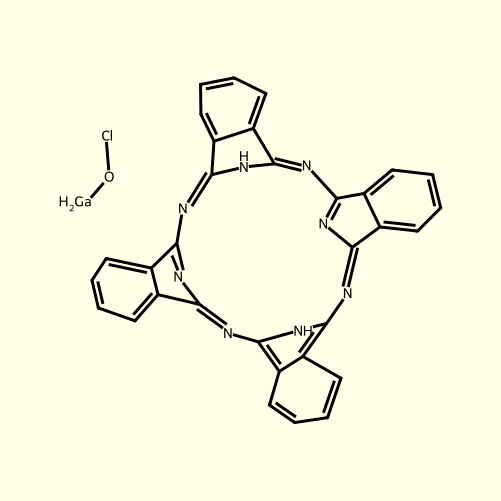 Cl[O][GaH2].c1ccc2c(c1)-c1nc-2nc2[nH]c(nc3nc(nc4[nH]c(n1)c1ccccc41)-c1ccccc1-3)c1ccccc21